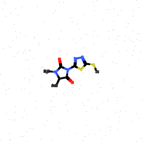 CCSc1nnc(N2C(=O)C(OC(C)=O)N(C)C2=O)s1